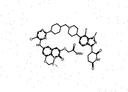 CNC(=O)COc1cc2cc(Nc3nc(N4CCC(CN5CCC(c6ccc7c(C8CCC(=O)NC8=O)nn(C)c7c6F)CC5)CC4)ncc3Cl)cc3c2n(c1=O)[C@H](C)CO3